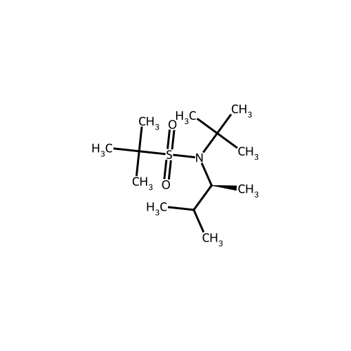 CC(C)[C@H](C)N(C(C)(C)C)S(=O)(=O)C(C)(C)C